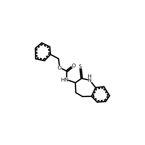 O=C(NC1CCc2ccccc2NC1=S)OCc1ccccc1